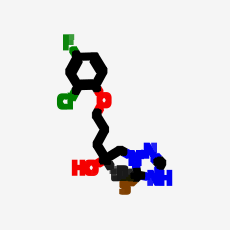 CC(C)(C)C(O)(CCCOc1ccc(F)cc1Cl)Cn1nc[nH]c1=S